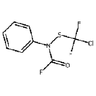 O=C(F)N(SC(F)(F)Cl)c1ccccc1